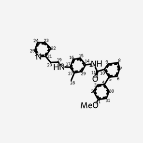 COc1ccc(-c2ccccc2C(=O)Nc2ccc(NCCc3ccccn3)c(C)c2)cc1